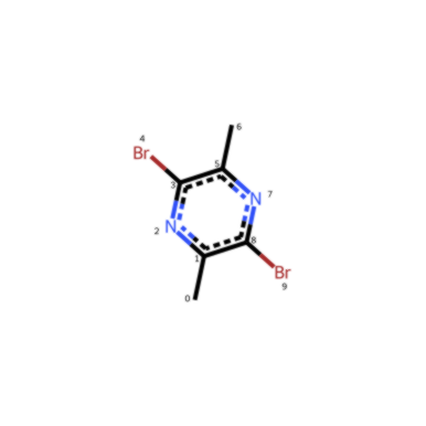 Cc1nc(Br)c(C)nc1Br